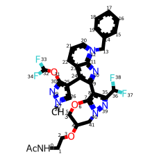 CC(=O)NCCOC1COc2c(-c3nc4n(Cc5ccccc5)cccc-4c3-c3cn(C)nc3OC(F)F)c(C(F)F)nn2C1